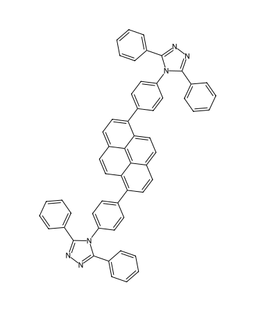 c1ccc(-c2nnc(-c3ccccc3)n2-c2ccc(-c3ccc4ccc5c(-c6ccc(-n7c(-c8ccccc8)nnc7-c7ccccc7)cc6)ccc6ccc3c4c65)cc2)cc1